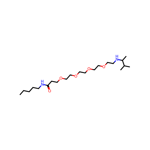 CCCCCNC(=O)CCOCCOCCOCCOCCNC(C)C(C)C